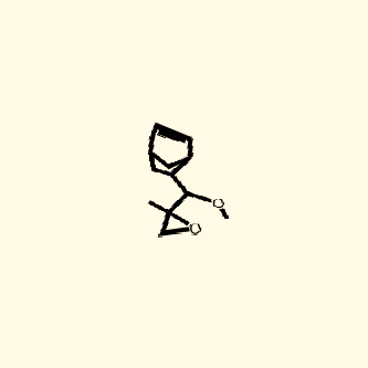 COC(C1CC2C=CC1C2)C1(C)CO1